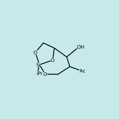 CC(=O)C1CO[Si]2(C(C)C)OCC(O2)C1O